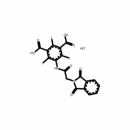 Cl.O=C(CN1C(=O)c2ccccc2C1=O)Nc1c(I)c(C(=O)O)c(I)c(C(=O)O)c1I